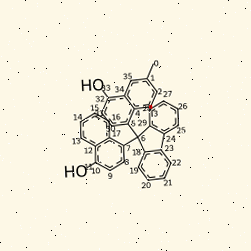 Cc1ccc2c(C3(c4ccc(O)c5ccccc45)c4ccccc4-c4ccccc43)ccc(O)c2c1